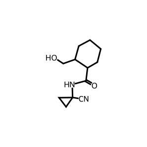 N#CC1(NC(=O)C2CCCCC2CO)CC1